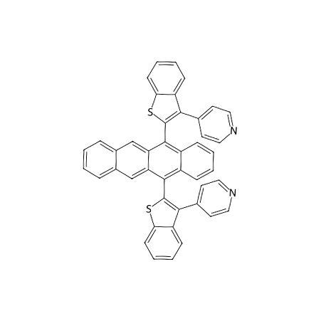 c1ccc2cc3c(-c4sc5ccccc5c4-c4ccncc4)c4ccccc4c(-c4sc5ccccc5c4-c4ccncc4)c3cc2c1